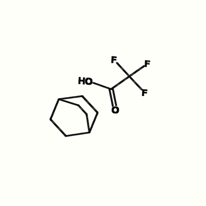 C1CC2CCC1CC2.O=C(O)C(F)(F)F